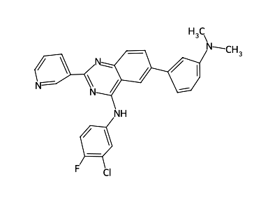 CN(C)c1cccc(-c2ccc3nc(-c4cccnc4)nc(Nc4ccc(F)c(Cl)c4)c3c2)c1